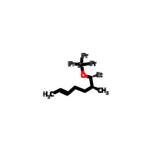 C/C=C/CC[C@H](C)[C@@H](CC)O[Si](C(C)C)(C(C)C)C(C)C